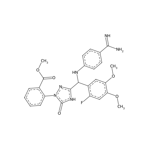 COC(=O)c1ccccc1-n1nc(C(Nc2ccc(C(=N)N)cc2)c2cc(OC)c(OC)cc2F)[nH]c1=O